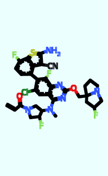 C=CC(=O)N1CC(F)C(N(C)c2nc(OCC34CCCN3CC(F)C4)nc3c(F)c(-c4ccc(F)c5sc(N)c(C#N)c45)c(Cl)cc23)C1